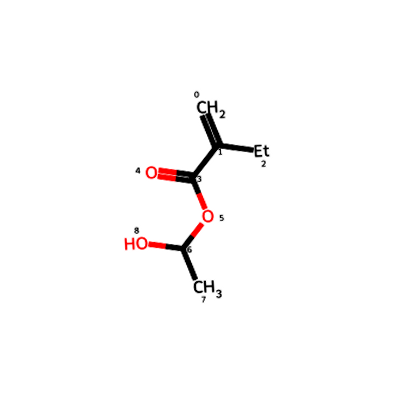 C=C(CC)C(=O)OC(C)O